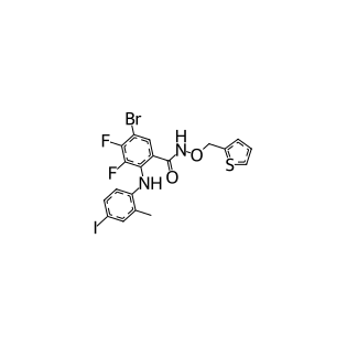 Cc1cc(I)ccc1Nc1c(C(=O)NOCc2cccs2)cc(Br)c(F)c1F